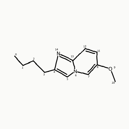 CCCCc1cn2cc(OC)ccc2n1